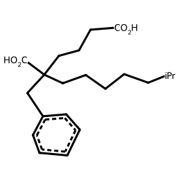 CC(C)CCCCCC(CCCC(=O)O)(Cc1ccccc1)C(=O)O